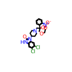 O=c1[nH]c2cc(Cl)c(Cl)cc2n1C1CCN(CC2(c3ccccc3[N+](=O)[O-])COCCO2)CC1